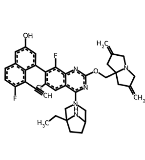 C#Cc1c(F)ccc2cc(O)cc(-c3c(Cl)cc4c(N5CC6CCC(CC)(C5)N6)nc(OCC56CC(=C)CN5CC(=C)C6)nc4c3F)c12